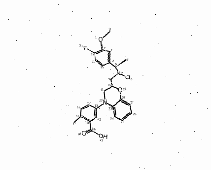 COc1cc([C@@H](C)N(Cl)CC2CN(c3ccc(C)c(C(=O)O)c3)c3ccccc3O2)ccc1F